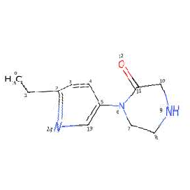 CCc1ccc(N2CCNCC2=O)cn1